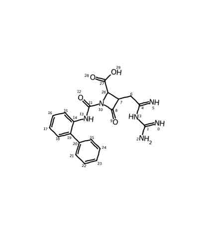 N=C(N)NC(=N)CC1C(=O)N(C(=O)Nc2ccccc2-c2ccccc2)C1C(=O)O